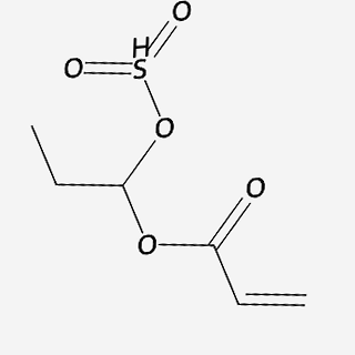 C=CC(=O)OC(CC)O[SH](=O)=O